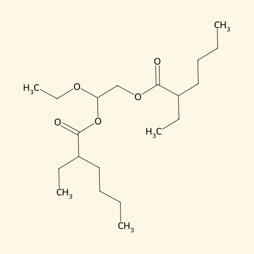 CCCCC(CC)C(=O)OCC(OCC)OC(=O)C(CC)CCCC